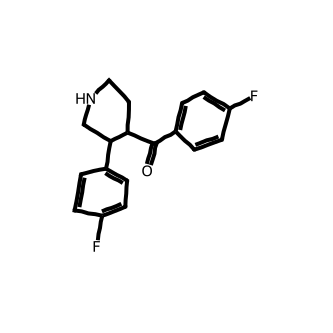 O=C(c1ccc(F)cc1)C1CCNCC1c1ccc(F)cc1